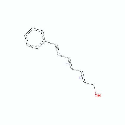 OC/C=C/C=C/C=Cc1ccccc1